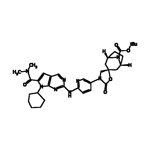 CN(C)C(=O)c1cc2cnc(Nc3ccc(N4C[C@@]5(C[C@H]6CC[C@@H](C5)N6C(=O)OC(C)(C)C)OC4=O)cn3)nc2n1C1CCCCC1